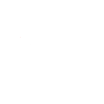 CCc1cc(CCC(CO)CO)ccc1-c1ccc(C)cc1F